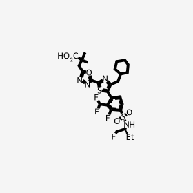 CC[C@@H](CF)NS(=O)(=O)c1ccc(-c2sc(-c3nnc(CC(C)(C)C(=O)O)o3)nc2CC2CCCCC2)c(C(F)F)c1F